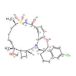 C[C@@H]1CC/C=C/[C@@](C)(O)[C@@H]2CC[C@H]2CN2C[C@@]3(CCCc4cc(Cl)ccc43)COc3ccc(cc32)C(=O)NS1(=O)=O